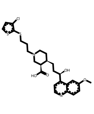 COc1ccc2nccc([C@H](O)CC[C@@H]3CCN(CCCSc4sccc4Cl)C[C@@H]3C(=O)O)c2c1